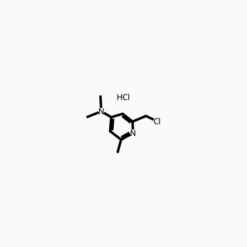 Cc1cc(N(C)C)cc(CCl)n1.Cl